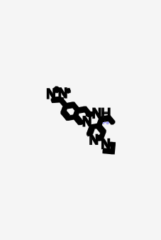 C/C=C(/Nc1cc2cc(-c3cncn3C)ccc2cn1)c1ccnc(N2CCC2)c1